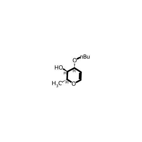 CCCCO[C@@H]1C=CO[C@H](C)[C@H]1O